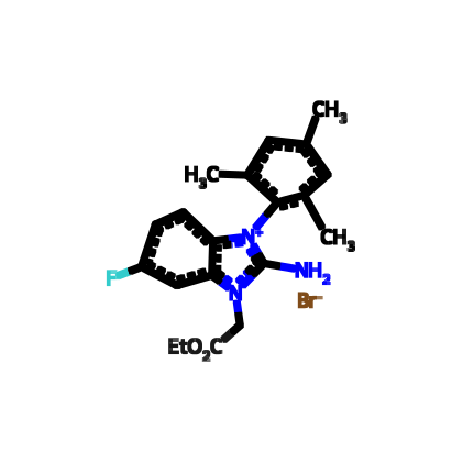 CCOC(=O)Cn1c(N)[n+](-c2c(C)cc(C)cc2C)c2ccc(F)cc21.[Br-]